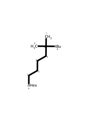 CCCCCCCCCCC(C)(C)C(C)(C)C